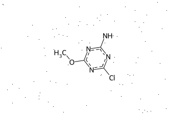 COc1nc([NH])nc(Cl)n1